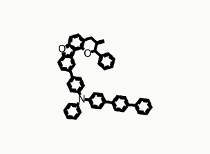 C=C1Cc2ccc3oc4ccc(-c5ccc(N(c6ccccc6)c6ccc(-c7ccc(-c8ccccc8)cc7)cc6)cc5)cc4c3c2OC1c1ccccc1